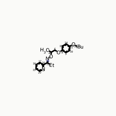 CC/C(=N\OC(C)COc1ccc(OC(C)CC)cc1)c1ccccn1